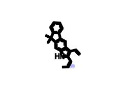 C=Cc1c(/C=C\C)[nH]c2cc3c(cc12)-c1ccccc1C3(C)C